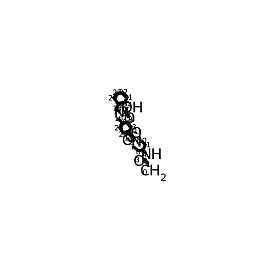 C=CC(=O)NC1CCN(S(=O)(=O)c2ccc(CN(Cc3ccccc3)C(=O)O)cc2)CC1